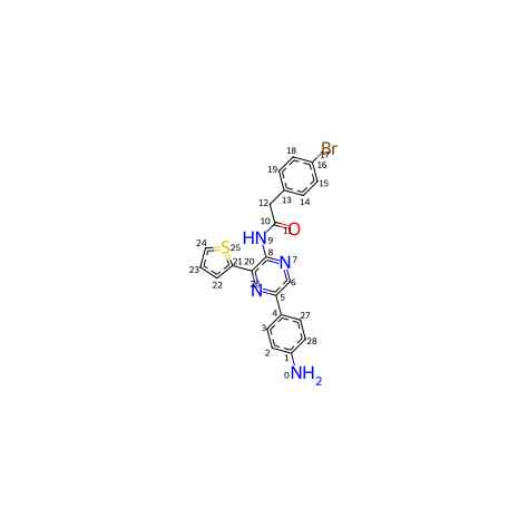 Nc1ccc(-c2cnc(NC(=O)Cc3ccc(Br)cc3)c(-c3cccs3)n2)cc1